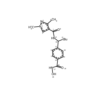 Cc1nn(C)cc1C(=O)NC(c1ccc(C(=O)NO)cc1)C(C)(C)C